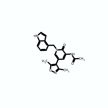 CC(=O)Nc1cc(-c2c(C)noc2C)cn(Cc2cccc3[nH]ccc23)c1=O